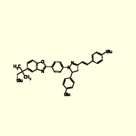 CC(C)(C)CC(C)(C)c1ccc2oc(-c3ccc(N4N=C(C=Cc5ccc(C(C)(C)C)cc5)CC4c4ccc(C(C)(C)C)cc4)cc3)nc2c1